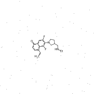 C=Cn1ccc(=O)c2cc(F)c(N3CCC(CNCC)C3)c(F)c21